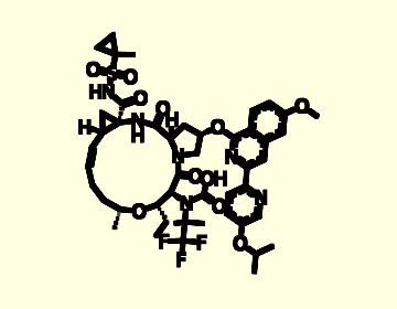 CC[C@@H]1O[C@H](C)CC/C=C\[C@@H]2C[C@@]2(C(=O)NS(=O)(=O)C2(C)CC2)NC(=O)[C@@H]2C[C@@H](Oc3nc(-c4ccc(OC(C)C)cn4)cc4cc(OC)ccc34)CN2C(=O)[C@H]1N(C(=O)O)C(C)(C)C(F)(F)F